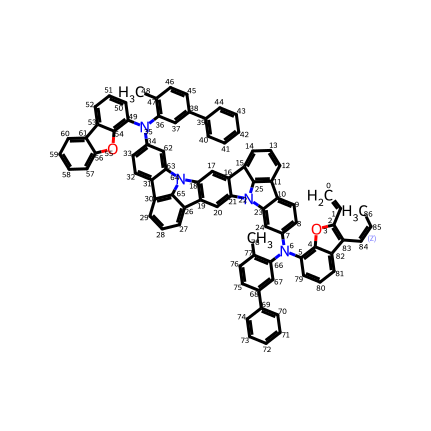 C=Cc1oc2c(N(c3ccc4c5cccc6c7cc8c(cc7n(c4c3)c56)c3cccc4c5ccc(N(c6cc(-c7ccccc7)ccc6C)c6cccc7c6oc6ccccc67)cc5n8c43)c3cc(-c4ccccc4)ccc3C)cccc2c1/C=C\C